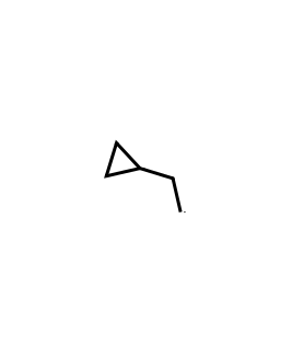 [CH2]C[C]1CC1